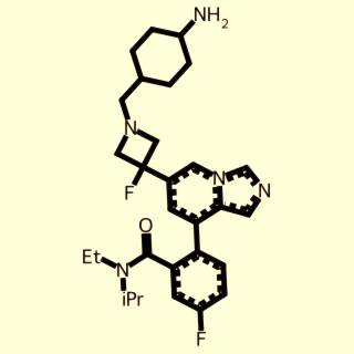 CCN(C(=O)c1cc(F)ccc1-c1cc(C2(F)CN(CC3CCC(N)CC3)C2)cn2cncc12)C(C)C